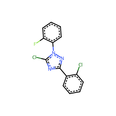 Fc1ccccc1-n1nc(-c2ccccc2Cl)nc1Cl